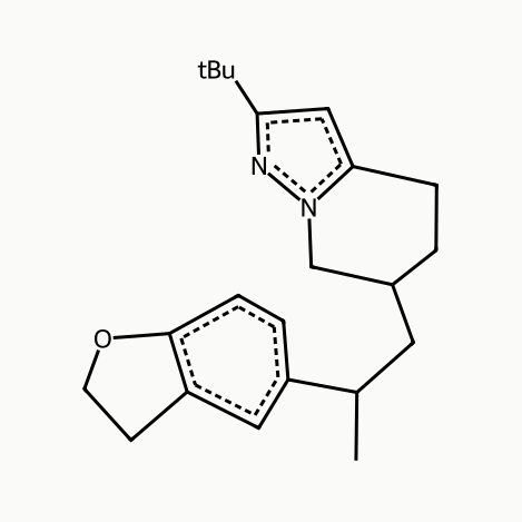 CC(CC1CCc2cc(C(C)(C)C)nn2C1)c1ccc2c(c1)CCO2